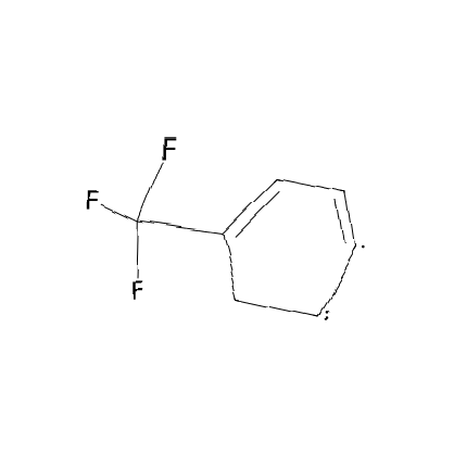 FC(F)(F)C1=CC=[C][C]C1